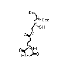 CCCCCCCCCCN(CCCCCCCCCC)C[C@H](O)COC(=O)CC[C@@H]1NC(=O)CNC1=O